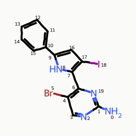 Nc1ncc(Br)c(-c2[nH]c(-c3ccccc3)cc2I)n1